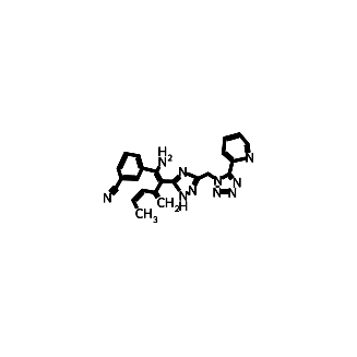 C=C(/C=C\C)/C(=C(/N)c1cccc(C#N)c1)c1nc(Cn2nnnc2-c2ccccn2)n[nH]1